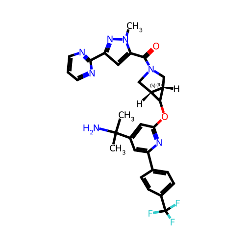 Cn1nc(-c2ncccn2)cc1C(=O)N1C[C@@H]2C(Oc3cc(C(C)(C)N)cc(-c4ccc(C(F)(F)F)cc4)n3)[C@@H]2C1